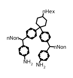 CCCCCCCCCC(c1ccc(N)cc1)c1ccc(C2(c3ccc(C(CCCCCCCCC)c4ccc(N)cc4)cc3)CCC(CCCCCC)CC2)cc1